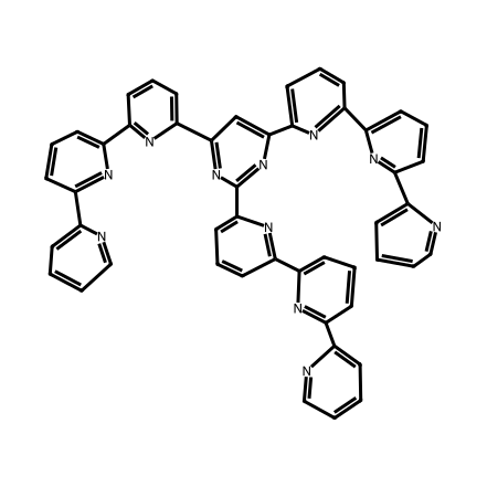 c1ccc(-c2cccc(-c3cccc(-c4cc(-c5cccc(-c6cccc(-c7ccccn7)n6)n5)nc(-c5cccc(-c6cccc(-c7ccccn7)n6)n5)n4)n3)n2)nc1